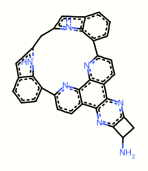 NC1Cc2nc3c4ccc5nc4c4nc(ccc4c3nc21)-c1cccc2cc([nH]c12)Cc1cc2cccc-5c2[nH]1